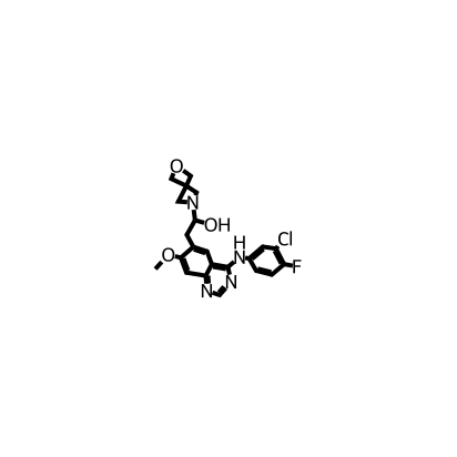 COc1cc2ncnc(Nc3ccc(F)c(Cl)c3)c2cc1CC(O)N1CC2(COC2)C1